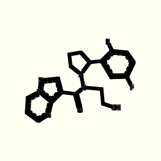 O=C(c1cnn2cccnc12)N(CCO)N1CCCC1c1cc(F)ccc1F